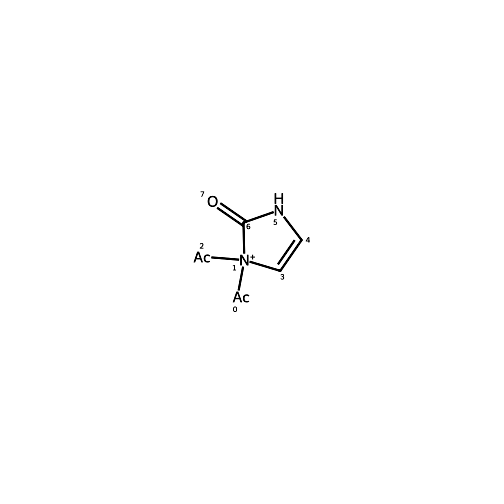 CC(=O)[N+]1(C(C)=O)C=CNC1=O